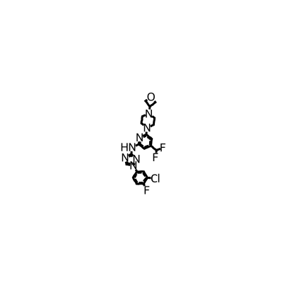 Fc1ccc(-n2cnc(Nc3cc(C(F)F)cc(N4CCN(C5COC5)CC4)n3)n2)cc1Cl